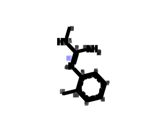 CN/C(N)=N/c1ccccc1C